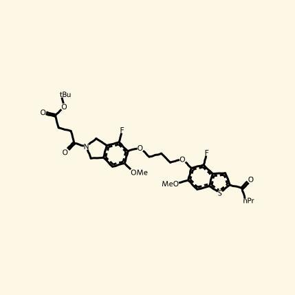 CCCC(=O)c1cc2c(F)c(OCCCOc3c(OC)cc4c(c3F)CN(C(=O)CCC(=O)OC(C)(C)C)C4)c(OC)cc2s1